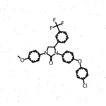 COc1ccc(N2CC(c3cccc(C(F)(F)F)c3)N(c3ccc(Oc4ccc(Cl)cc4)cc3)C2=O)cc1